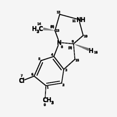 Cc1cc2c(cc1Cl)N1[C@@H](CNC[C@H]1C)C2